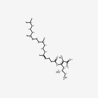 CC(=CCCC(=O)OC1=C(O)C(=O)O[C@@H]1[C@@H](O)CO)CCCC(C)CCCC(C)CCCC(C)C